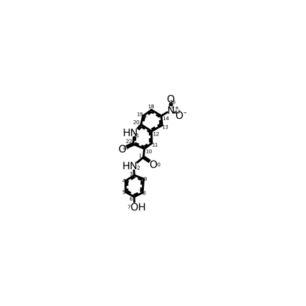 O=C(Nc1ccc(O)cc1)c1cc2cc([N+](=O)[O-])ccc2[nH]c1=O